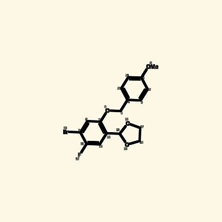 COc1ccc(COc2cc(Br)c(F)cc2C2OCCO2)cc1